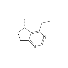 CCc1ncnc2c1[C@@H](C)CC2